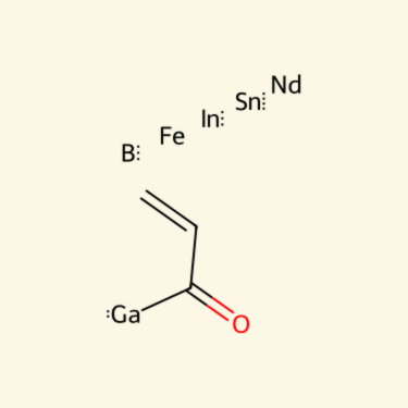 C=C[C](=O)[Ga].[B].[Fe].[In].[Nd].[Sn]